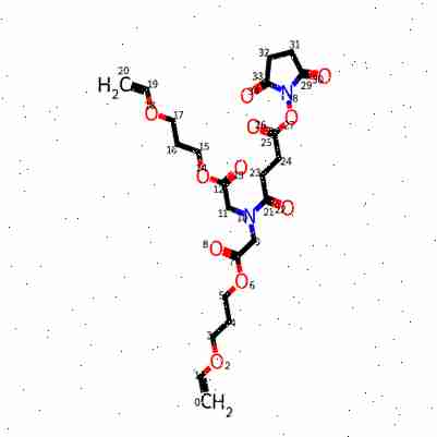 C=COCCCOC(=O)CN(CC(=O)OCCCOC=C)C(=O)CCC(=O)ON1C(=O)CCC1=O